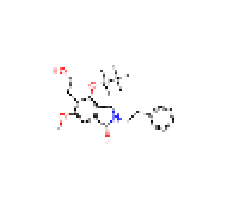 COc1cc2c(c(O[Si](C)(C)C(C)(C)C)c1CCO)CN(CCc1ccccc1)C2=O